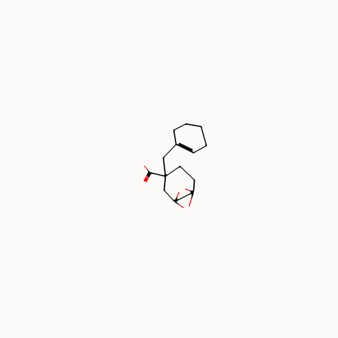 O=C(O)C1(CC2=CCCCC2)CCC23OC2(C1)O3